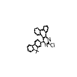 CC1(C)c2ccccc2-c2ccc(-c3nc(Cl)nc4c5ccccc5c5ccccc5c34)cc21